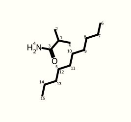 CC(C)C(N)=O.CCCCCCCCCC